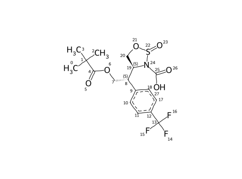 CC(C)(C)C(=O)OC[C@@H](c1ccc(C(F)(F)F)cc1)[C@H]1COS(=O)N1C(=O)O